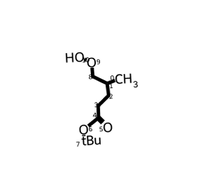 CC(CCC(=O)OC(C)(C)C)COO